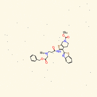 CCC(C)N(CCC(=O)Nc1sc2c(c1-c1nc3ccccc3s1)CCN(C(=O)OC(C)(C)C)C2)CC(=O)OCc1ccccc1